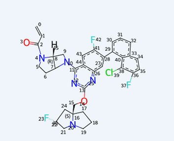 C=CC(=O)N1CCC2[C@H]1CN2c1nc(OC[C@@]23CCCN2C[C@H](F)C3)nc2cc(-c3cccc4ccc(F)c(Cl)c34)c(F)cc12